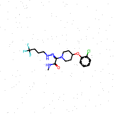 CNC(=O)/C(=N\NCCCC(F)(F)F)N1CCC(Oc2ccccc2Cl)CC1